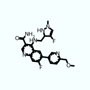 COCc1ccc(-c2cc3c(NCC4NN(C)C=C4F)c(C(N)=O)cnc3cc2F)cn1